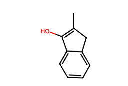 CC1=C(O)c2ccccc2C1